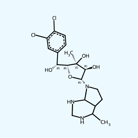 CC1NCNC2C1CCN2[C@@H]1O[C@H]([C@H](O)c2ccc(Cl)c(Cl)c2)[C@@](C)(O)[C@H]1O